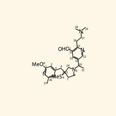 COc1cc(C[C@@]2(SC)CCN(C(C)c3cnc(CCN(C)C)c(C=O)c3)C2)cc(C)n1